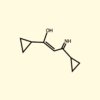 N=C(/C=C(\O)C1CC1)C1CC1